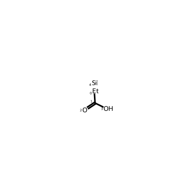 CCC(=O)O.[Si]